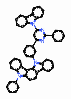 c1ccc(-c2nc(-c3cccc(-n4c5ccccc5c5ccc6c(c7ccccc7n6-c6ccccc6)c54)c3)cc(-n3c4ccccc4c4ccccc43)n2)cc1